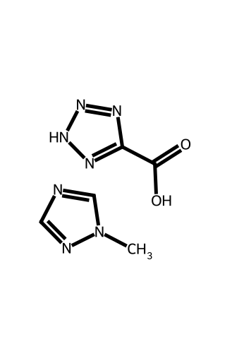 Cn1cncn1.O=C(O)c1nn[nH]n1